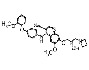 COc1cc2c(Nc3ccc(Oc4ccccc4OC)cc3)c(C#N)cnc2cc1OC[C@@H](O)CN1CCC1